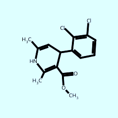 COC(=O)C1=C(C)NC(C)=CC1c1cccc(Cl)c1Cl